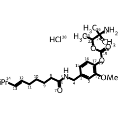 COc1cc(CNC(=O)CCCCC=CC(C)C)ccc1OC(=O)OC(C)C(C)(C)N.Cl